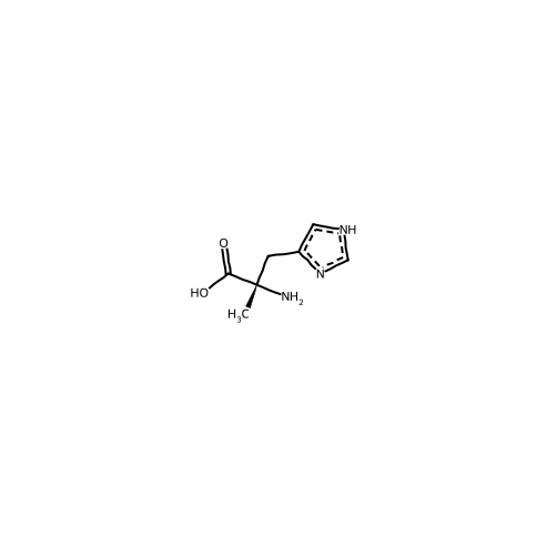 C[C@](N)(Cc1c[nH]cn1)C(=O)O